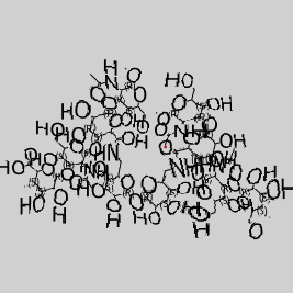 CO[C@@H]1OC(CO)[C@@H](O)[C@H](O[C@@H]2OC(C(=O)NCC3O[C@H](O[C@H]4OC(CNC(=O)C5O[C@@H](O[C@@H]6C(NC(C)=O)[C@H](OC)OC(CO)[C@H]6O)C(O)[C@@H](O)[C@@H]5O[C@@H]5OC(CO)[C@@H](O)[C@H](O[C@@H]6OC(C(=O)O)[C@@H](C)[C@H](O)C6O)C5NC(C)=O)[C@@H](O)[C@H](O)C4O)C(O)[C@@H](O)[C@@H]3O)[C@@H](O[C@@H]3OC(CO)[C@@H](O)[C@H](O[C@@H]4OC(C=O)[C@@H](C)[C@H](O)C4O)C3NC(C)=O)[C@H](O)C2O)C1NC(C)=O